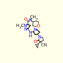 CN(C(=O)c1cc(Nc2cc(N3CC[C@@](C#N)(C4CC4)C3=O)ccn2)nn1C)C1CCOCC1